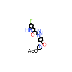 CC(=O)OC1CCN(C(=O)c2ccc(-n3cc(-c4cc5cc(F)ccc5[nH]c4=O)nn3)cc2)CC1